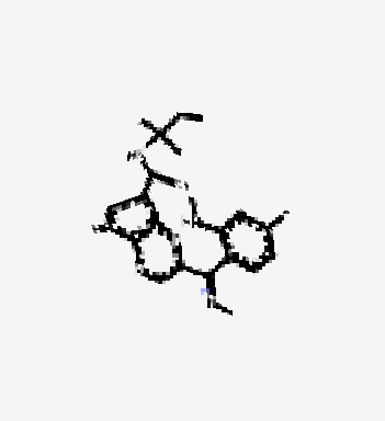 CCC(C)(C)NC(=O)c1c[nH]c2ncc(/C(=N/C)c3ccc(F)cc3NC)nc12